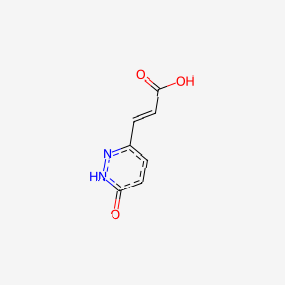 O=C(O)C=Cc1ccc(=O)[nH]n1